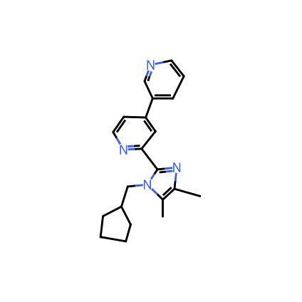 Cc1nc(-c2cc(-c3cccnc3)ccn2)n(CC2CCCC2)c1C